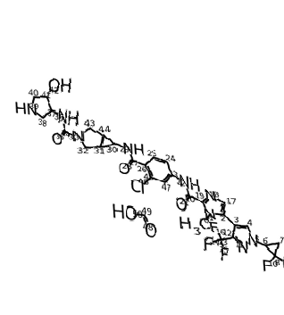 Cn1c(-c2cn(C3CC3(F)F)nc2C(F)(F)F)cnc1C(=O)Nc1ccc(C(=O)NC2C3CN(C(=O)N[C@H]4CNC[C@@H]4O)CC32)c(Cl)c1.O=CO